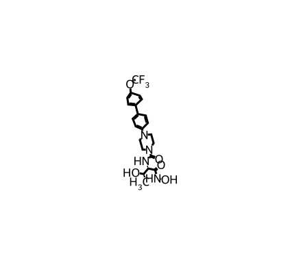 C[C@@H](O)[C@H](NC(=O)N1CCN(c2ccc(-c3ccc(OC(F)(F)F)cc3)cc2)CC1)C(=O)NO